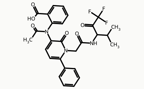 CC(=O)N(c1ccccc1C(=O)O)c1ccc(-c2ccccc2)n(CC(=O)NC(C(=O)C(F)(F)F)C(C)C)c1=O